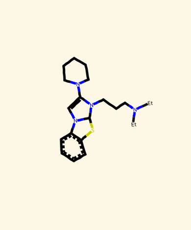 CCN(CC)CCCN1C(N2CCCCC2)=CN2c3ccccc3SC12